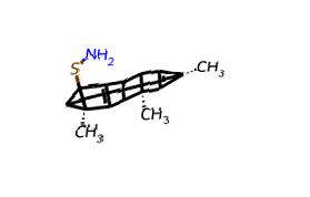 C[C@]12C3=C1[C@]1(C)C3C3C4=C(C31)[C@@]1(C)C2C41SN